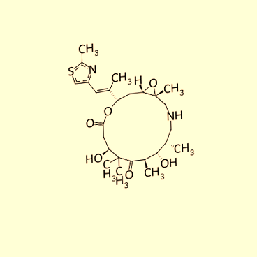 CC(=Cc1csc(C)n1)[C@@H]1C[C@@H]2O[C@]2(C)CNC[C@H](C)[C@H](O)[C@@H](C)C(=O)C(C)(C)[C@@H](O)CC(=O)O1